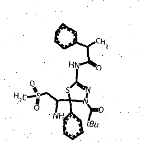 CC(C(=O)NC1=NN(C(=O)C(C)(C)C)C(c2ccccc2)(C(N)CS(C)(=O)=O)S1)c1ccccc1